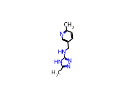 Cc1ccc(CNc2nnc(C)[nH]2)cn1